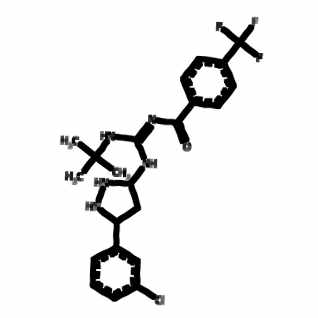 CC(C)(C)N/C(=N/C(=O)c1ccc(C(F)(F)F)cc1)NC1CC(c2cccc(Cl)c2)NN1